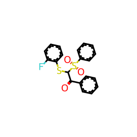 O=C(c1ccccc1)C(Sc1ccccc1F)S(=O)(=O)c1ccccc1